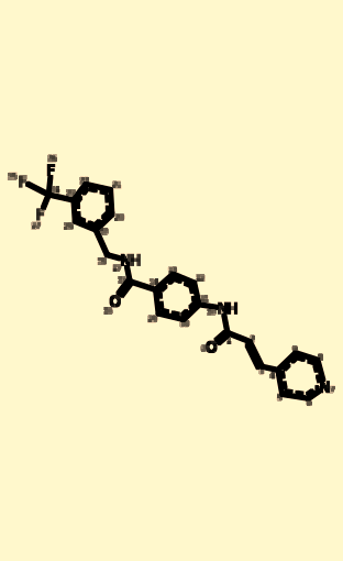 O=C(C=Cc1ccncc1)Nc1ccc(C(=O)NCc2cccc(C(F)(F)F)c2)cc1